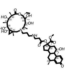 CC[C@H]1OC(=O)[C@H](C)[C@@H](O)[C@H](C)[C@@H](O)[C@]2(O)C[C@@]2(C)CN(CCCNCCC(=O)O[C@]2(C(=O)OC)CCC3C4C[C@H](C)C5=CC(=O)C=C[C@]5(C)C4[C@@H](O)C[C@@]32C)[C@H](C)[C@@H](O)[C@]1(C)O